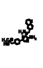 CP(=O)(O)Cc1ccc(-c2cnc(N)c(N(N)Cc3ccc4ncccc4c3)n2)cc1